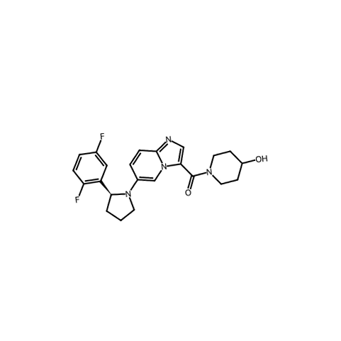 O=C(c1cnc2ccc(N3CCC[C@H]3c3cc(F)ccc3F)cn12)N1CCC(O)CC1